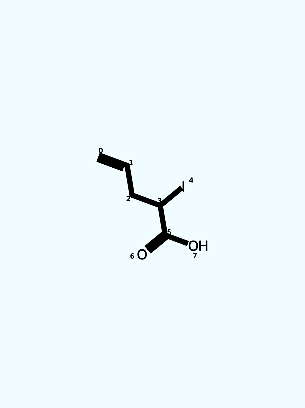 C=CCC(I)C(=O)O